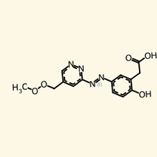 COOCc1cnnc(/N=N/c2ccc(O)c(CC(=O)O)c2)c1